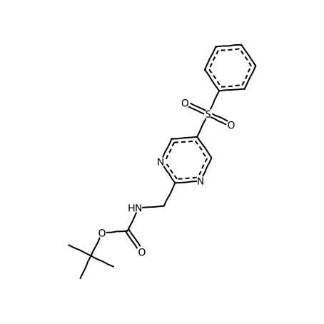 CC(C)(C)OC(=O)NCc1ncc(S(=O)(=O)c2ccccc2)cn1